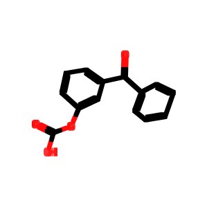 O=C(O)Oc1cccc(C(=O)c2ccccc2)c1